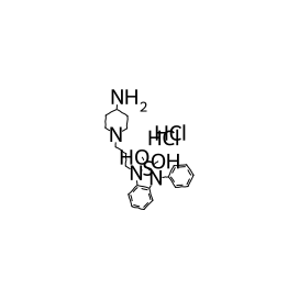 Cl.Cl.NC1CCN(CCCN2c3ccccc3N(c3ccccc3)S2(O)O)CC1